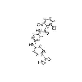 O=C(O)c1ccc(Nc2ncc(NC(=O)c3c(Cl)cccc3Cl)cn2)cn1